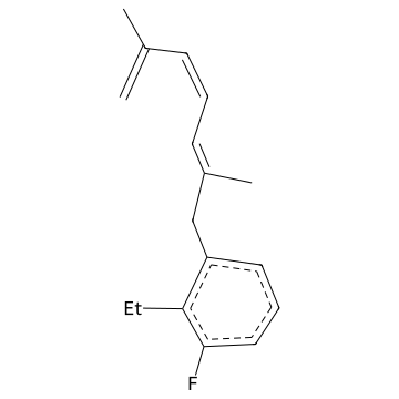 C=C(C)/C=C\C=C(/C)Cc1cccc(F)c1CC